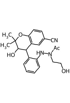 CC(=O)N(CCO)Nc1ccccc1C1c2cc(C#N)ccc2OC(C)(C)C1O